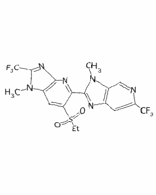 CCS(=O)(=O)c1cc2c(nc1-c1nc3cc(C(F)(F)F)ncc3n1C)nc(C(F)(F)F)n2C